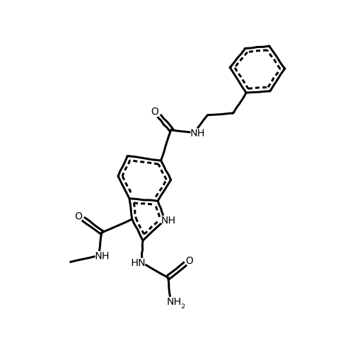 CNC(=O)c1c(NC(N)=O)[nH]c2cc(C(=O)NCCc3ccccc3)ccc12